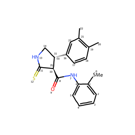 CSc1ccccc1NC(=O)[C@H]1C(=S)NC[C@@H]1c1ccc(C)c(C)c1